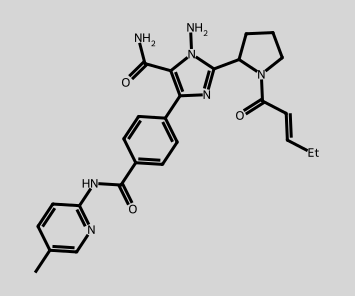 CC/C=C/C(=O)N1CCCC1c1nc(-c2ccc(C(=O)Nc3ccc(C)cn3)cc2)c(C(N)=O)n1N